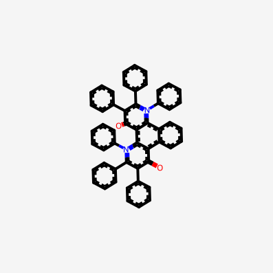 O=c1c(-c2ccccc2)c(-c2ccccc2)n(-c2ccccc2)c2c1c1ccccc1c1c2c(=O)c(-c2ccccc2)c(-c2ccccc2)n1-c1ccccc1